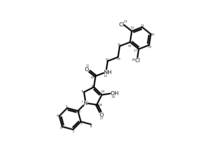 Cc1ccccc1N1CC(C(=O)NCCCc2c(Cl)cccc2Cl)=C(O)C1=O